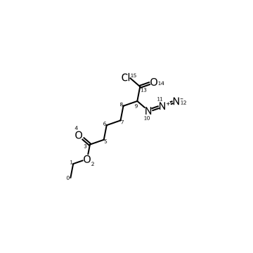 CCOC(=O)CCCCC(N=[N+]=[N-])C(=O)Cl